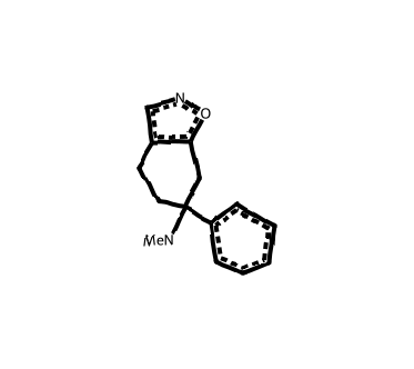 CNC1(c2ccccc2)CCc2cnoc2C1